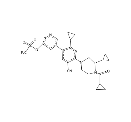 N#Cc1cc(-c2cnnc(OS(=O)(=O)C(F)(F)F)c2)c(C2CC2)nc1N1CCN(C(=O)C2CC2)C(C2CC2)C1